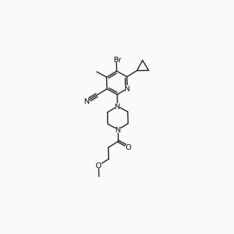 COCCC(=O)N1CCN(c2nc(C3CC3)c(Br)c(C)c2C#N)CC1